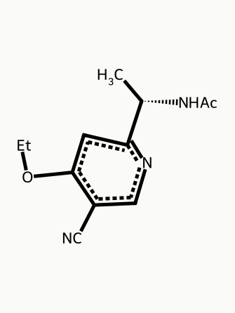 CCOc1cc([C@H](C)NC(C)=O)ncc1C#N